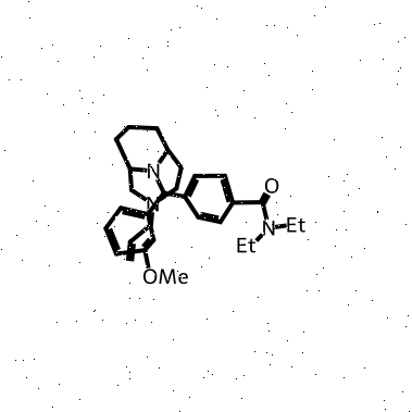 C=CCN1CCC2CCCC(C1)N2C(c1ccc(C(=O)N(CC)CC)cc1)c1cccc(OC)c1